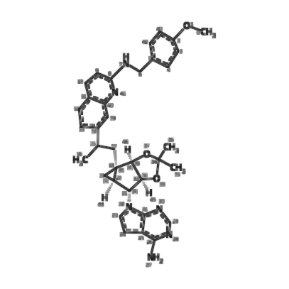 COc1ccc(CNc2ccc3ccc(C(C)C[C@@]45C[C@@H]4[C@@H](n4ccc6c(N)ncnc64)[C@@H]4OC(C)(C)O[C@@H]45)cc3n2)cc1